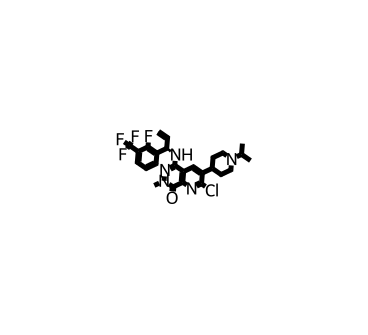 C=C[C@@H](Nc1nn(C)c(=O)c2nc(Cl)c(C3CCN(C(C)C)CC3)cc12)c1cccc(C(F)(F)F)c1F